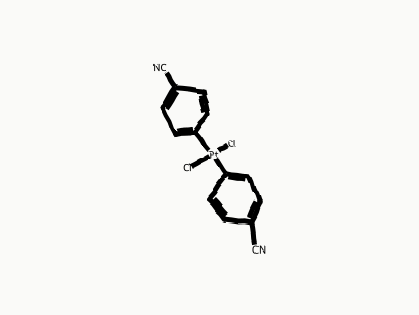 N#Cc1cc[c]([Pt]([Cl])([Cl])[c]2ccc(C#N)cc2)cc1